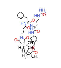 CC(C)(C)C(=O)OCc1ccc(NC(=O)[C@H](CCCNC(N)=O)NC(=O)[C@@H](Cc2ccccc2)NC(=O)CCCN2C(=O)CC(C(C)(C)C)C2=O)cc1